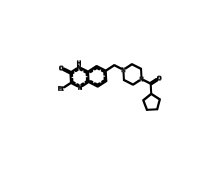 CCc1nc2ccc(CN3CCN(C(=O)C4CCCC4)CC3)cc2[nH]c1=O